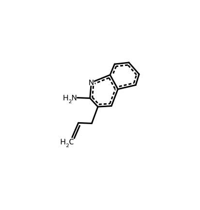 C=CCc1cc2ccccc2nc1N